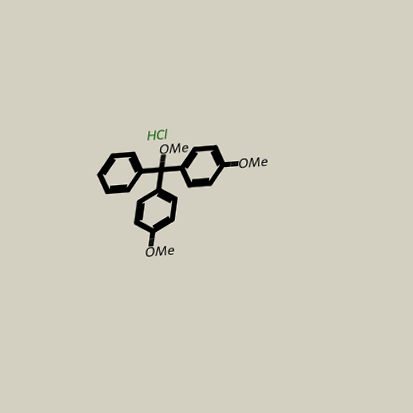 COc1ccc(C(OC)(c2ccccc2)c2ccc(OC)cc2)cc1.Cl